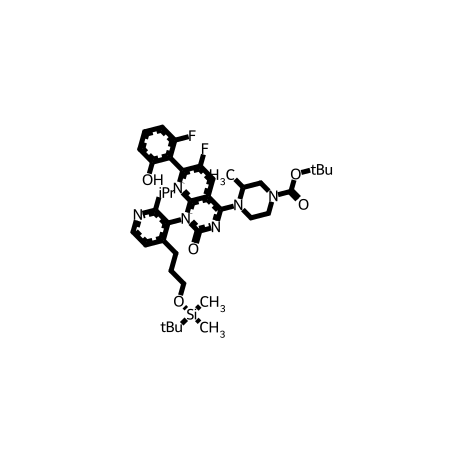 CC(C)c1nccc(CCCO[Si](C)(C)C(C)(C)C)c1-n1c(=O)nc(N2CCN(C(=O)OC(C)(C)C)CC2C)c2cc(F)c(-c3c(O)cccc3F)nc21